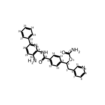 NC(=O)OC(Cc1cccnc1)c1ccc(C(=O)Nc2nc(-c3ccccc3)ccc2N)cc1